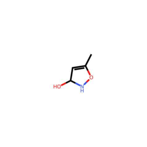 CC1=CC(O)NO1